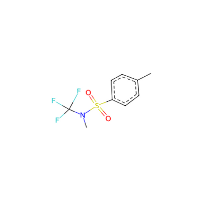 Cc1ccc(S(=O)(=O)N(C)C(F)(F)F)cc1